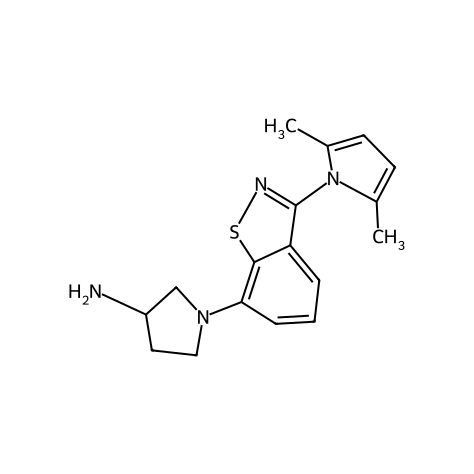 Cc1ccc(C)n1-c1nsc2c(N3CCC(N)C3)cccc12